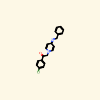 O=C(Cn1ccc(=NCc2ccccc2)cc1)c1ccc(Cl)cc1